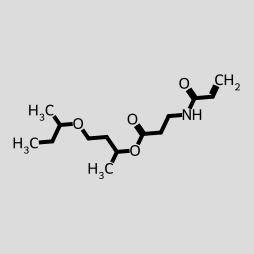 C=CC(=O)NCCC(=O)OC(C)CCOC(C)CC